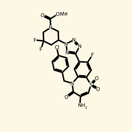 COC(=O)N1CC(n2nnc(-c3cc4c(cc3F)S(=O)(=O)C=C(N)C(=O)N4Cc3ccc(Cl)cc3)n2)CC(F)(F)C1